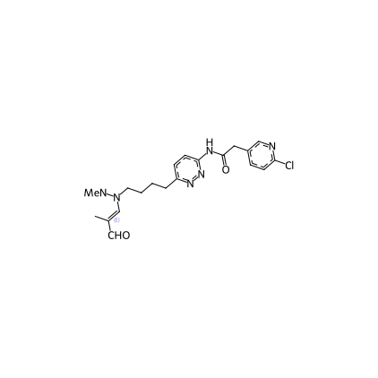 CNN(/C=C(\C)C=O)CCCCc1ccc(NC(=O)Cc2ccc(Cl)nc2)nn1